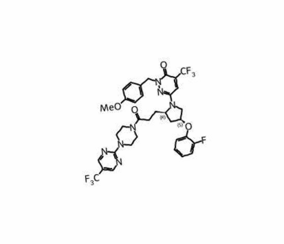 COc1ccc(Cn2nc(N3C[C@@H](Oc4ccccc4F)C[C@H]3CCC(=O)N3CCN(c4ncc(C(F)(F)F)cn4)CC3)cc(C(F)(F)F)c2=O)cc1